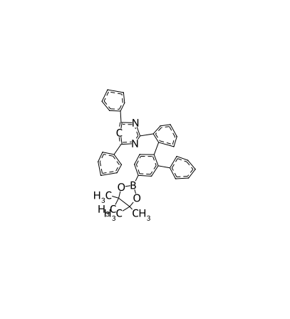 CC1(C)OB(c2ccc(-c3ccccc3-c3nc(-c4ccccc4)cc(-c4ccccc4)n3)c(-c3ccccc3)c2)OC1(C)C